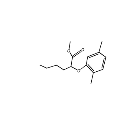 CCCCC(Oc1cc(C)ccc1C)C(=O)OC